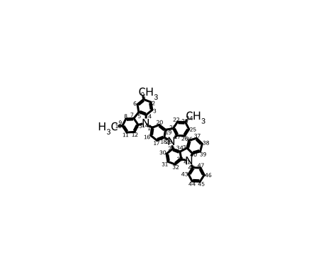 Cc1ccc2c(c1)c1cc(C)ccc1n2-c1ccc2c(c1)c1cc(C)ccc1n2-c1cccc2c1c1ccccc1n2-c1ccccc1